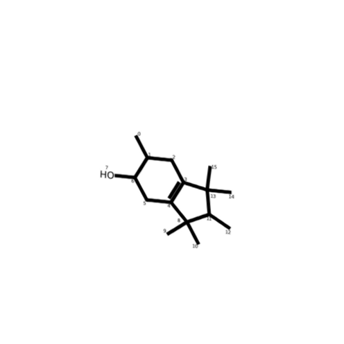 CC1CC2=C(CC1O)C(C)(C)C(C)C2(C)C